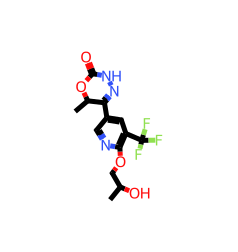 CC(O)COc1ncc(C2=NNC(=O)OC2C)cc1C(F)(F)F